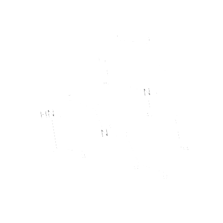 C1CCN(C2=C(N3CCNCC3)CCCC2)CC1